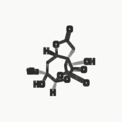 CC(C)(C)[C@]1(O)C[C@@H]2OC(=O)C[C@@]23C(=O)O[C@@H]1OC(=O)[C@@H]3O